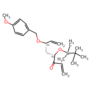 C=CC(=O)[C@H](C[C@@H](C=C)OCc1ccc(OC)cc1)O[Si](C)(C)C(C)(C)C